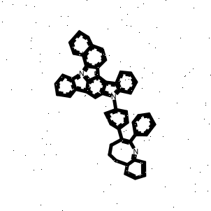 C1=C/C2=N/C(c3ccccc3)=C(/c3ccc(-n4c5ccccc5c5c6c7ccc8ccccc8c7n7c8ccccc8c(cc54)c67)cc3)CCCC2C=C1